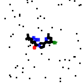 Cc1cc(Br)cc(C2CCN(C(=O)c3cc(C(C)C)n[nH]3)C2)n1